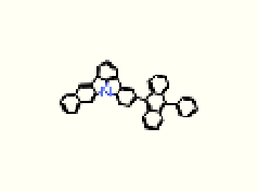 c1ccc(-c2c3ccccc3c(-c3ccc4c(c3)c3cccc5c6cc7ccccc7cc6n4c35)c3ccccc23)cc1